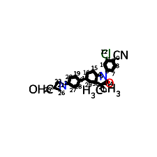 CC1(C)C(=O)N(c2ccc(C#N)c(Cl)c2)c2ccc(-c3ccc(N4CC(C=O)C4)cc3)cc21